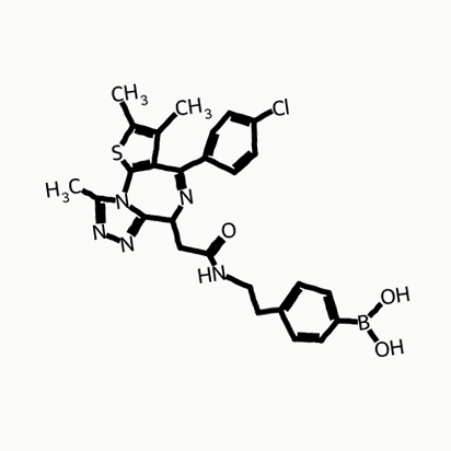 Cc1sc2c(c1C)C(c1ccc(Cl)cc1)=NC(CC(=O)NCCc1ccc(B(O)O)cc1)c1nnc(C)n1-2